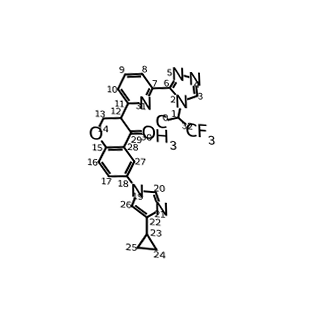 CC(n1cnnc1-c1cccc(C2COc3ccc(-n4cnc(C5CC5)c4)cc3C2=O)n1)C(F)(F)F